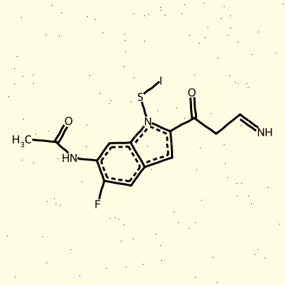 CC(=O)Nc1cc2c(cc1F)cc(C(=O)CC=N)n2SI